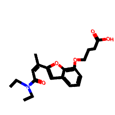 CCN(CC)C(=O)/C=C(/C)c1cc2cccc(OCCCC(=O)O)c2o1